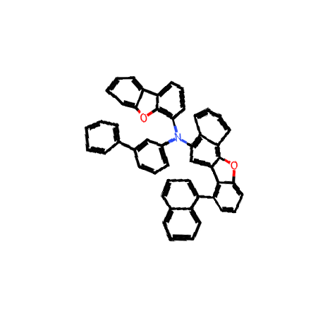 c1ccc(-c2cccc(N(c3cc4c(oc5cccc(-c6cccc7ccccc67)c54)c4ccccc34)c3cccc4c3oc3ccccc34)c2)cc1